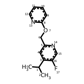 CC(C)c1cc(COc2ccccn2)ncc1F